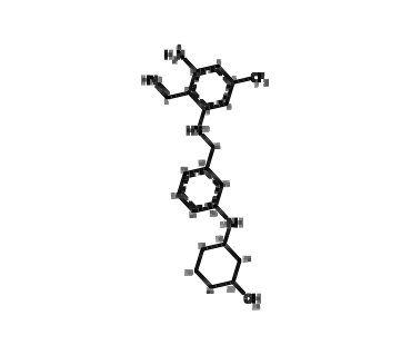 N=Cc1c(N)cc(C(F)(F)F)cc1NCc1cccc(NC2CCCC(O)C2)c1